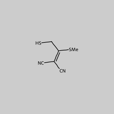 CSC(CS)=C(C#N)C#N